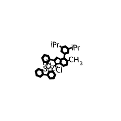 Cc1ccc2c(c1-c1cc(C(C)C)cc(C(C)C)c1)C=C(c1ccccc1)[CH]2[Zr]([Cl])([Cl])[c]1cccc2c1[SiH2]c1ccccc1-2